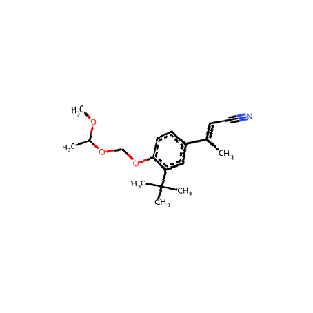 COC(C)OCOc1ccc(C(C)=CC#N)cc1C(C)(C)C